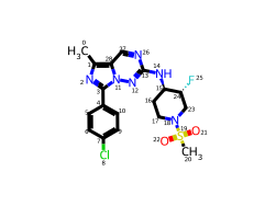 Cc1nc(-c2ccc(Cl)cc2)n2nc(N[C@@H]3CCN(S(C)(=O)=O)C[C@H]3F)ncc12